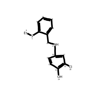 CCSc1ccccc1CNc1ccc(O)c(Cl)c1